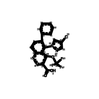 O=C(O)c1nnc2ccc(-c3ccccc3)c(-n3cc(Cl)cn3)c2c1OC(F)(F)F